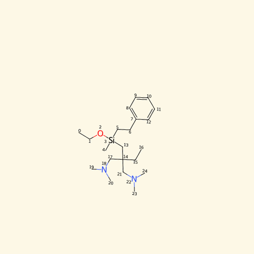 CCO[Si](C)(CCc1ccccc1)CC(CC)(CN(C)C)CN(C)C